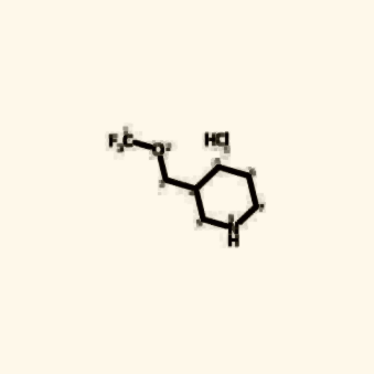 Cl.FC(F)(F)OCC1CCCNC1